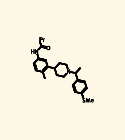 CSc1ccc(C(C)N2CCC(c3cc(NC(=O)C(C)C)ccc3C)CC2)cc1